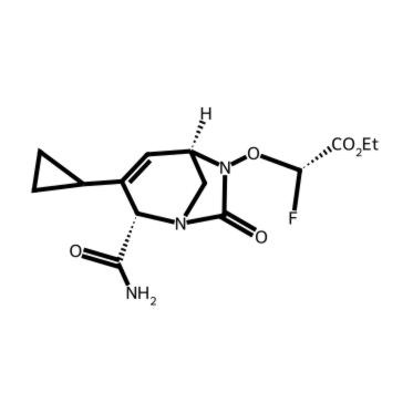 CCOC(=O)[C@H](F)ON1C(=O)N2C[C@H]1C=C(C1CC1)[C@H]2C(N)=O